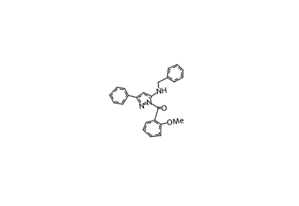 COc1ccccc1C(=O)n1nc(-c2ccccc2)cc1NCc1ccccc1